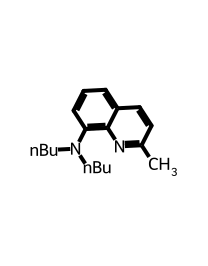 CCCCN(CCCC)c1cccc2ccc(C)nc12